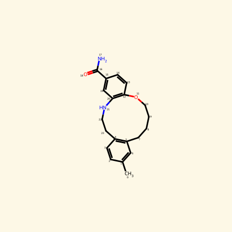 Cc1ccc2c(c1)CCCCOc1ccc(C(N)=O)cc1NCC2